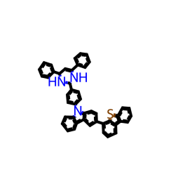 C1=C(c2ccccc2)NC(c2ccc(-n3c4ccccc4c4cc(-c5cccc6c5sc5ccccc56)ccc43)cc2)NC1c1ccccc1